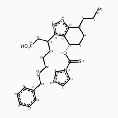 CC(C)CCC1CC[C@H](OC(=S)n2ccnc2)c2c(C(CCCOCc3ccccc3)CC(=O)O)noc21